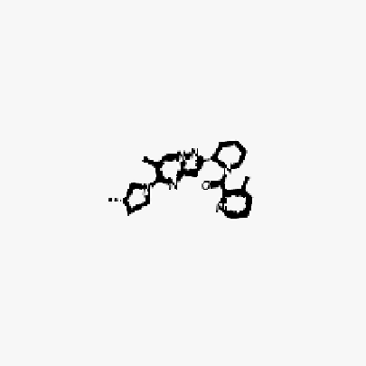 Cc1cccnc1C(=O)N1CCCC[C@H]1c1cc2nc(N3CC[C@H](C)C3)c(C)cn2n1